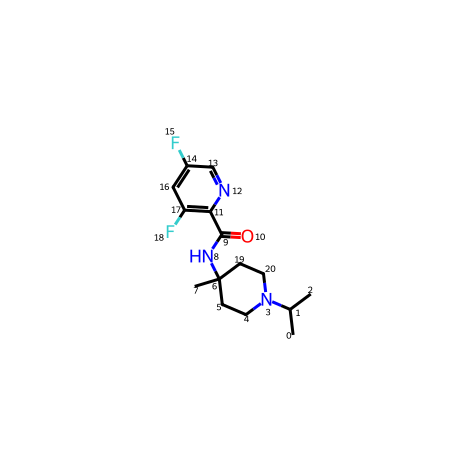 CC(C)N1CCC(C)(NC(=O)c2ncc(F)cc2F)CC1